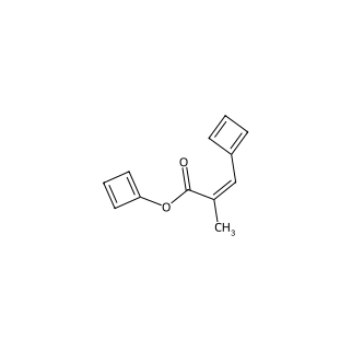 CC(=CC1=CC=C1)C(=O)OC1=CC=C1